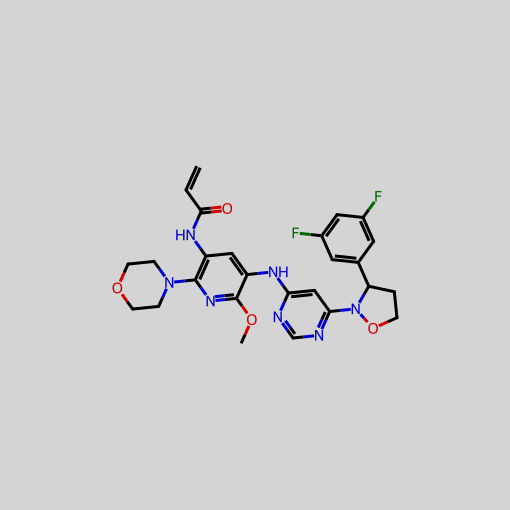 C=CC(=O)Nc1cc(Nc2cc(N3OCCC3c3cc(F)cc(F)c3)ncn2)c(OC)nc1N1CCOCC1